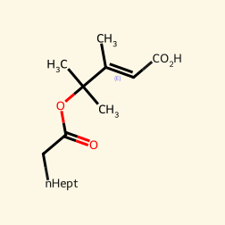 CCCCCCCCC(=O)OC(C)(C)/C(C)=C/C(=O)O